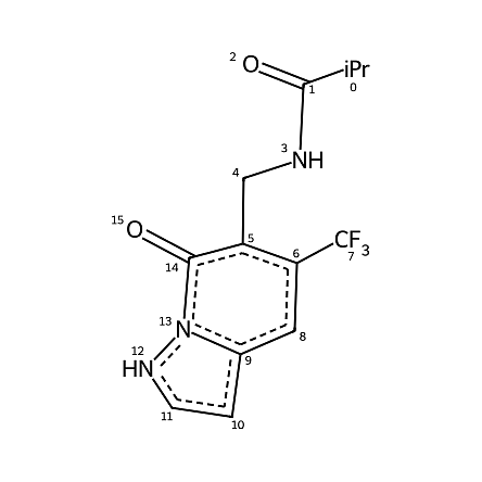 CC(C)C(=O)NCc1c(C(F)(F)F)cc2cc[nH]n2c1=O